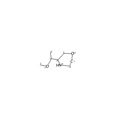 [CH2]C(OC)C1COCCN1